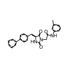 Cc1cccc(NC(=O)CN2C(=O)N/C(=C\c3ccc(-c4ccccc4)cc3)C2=O)c1